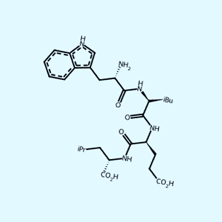 CC[C@H](C)[C@H](NC(=O)[C@@H](N)Cc1c[nH]c2ccccc12)C(=O)N[C@@H](CCC(=O)O)C(=O)N[C@@H](CC(C)C)C(=O)O